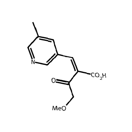 COCC(=O)C(=Cc1cncc(C)c1)C(=O)O